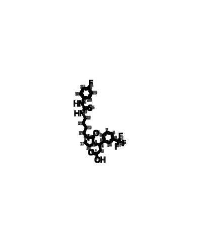 O=C(O)CC(c1cccc(C(F)(F)F)c1)N1CCN(CCCCNC(=S)Nc2ccc(F)cc2)C1=O